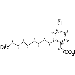 CCCCCCCCCCCCCCCCCCc1cc(Cl)ccc1CC(=O)O